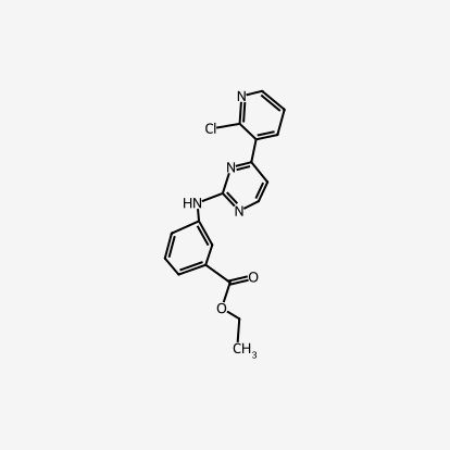 CCOC(=O)c1cccc(Nc2nccc(-c3cccnc3Cl)n2)c1